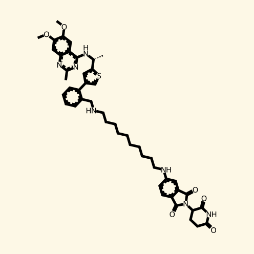 COc1cc2nc(C)nc(N[C@H](C)c3cc(-c4ccccc4CNCCCCCCCCCCNc4ccc5c(c4)C(=O)N(C4CCC(=O)NC4=O)C5=O)cs3)c2cc1OC